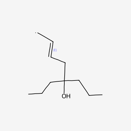 [CH2]/C=C/CC(O)(CCC)CCC